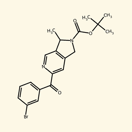 CC1c2cnc(C(=O)c3cccc(Br)c3)cc2CN1C(=O)OC(C)(C)C